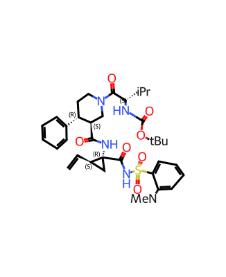 C=C[C@@H]1C[C@]1(NC(=O)[C@@H]1CN(C(=O)[C@@H](NC(=O)OC(C)(C)C)C(C)C)CC[C@H]1c1ccccc1)C(=O)NS(=O)(=O)c1ccccc1NC